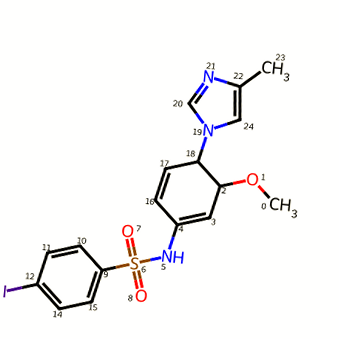 COC1C=C(NS(=O)(=O)c2ccc(I)cc2)C=CC1n1cnc(C)c1